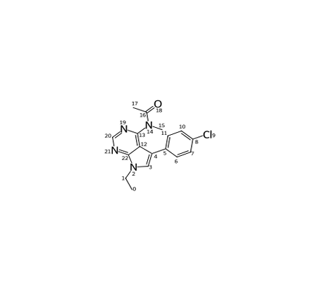 CCn1cc(-c2ccc(Cl)cc2)c2c(N(C)C(C)=O)ncnc21